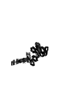 CCCCCCCNC(=O)c1ccc(CN2C(=O)C3(COc4cc5c(cc43)OCO5)c3ccccc32)cc1